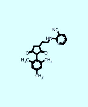 Cc1cc(C)c(C2C(=O)CC(CCNc3ncccc3C#N)C2=O)c(C)c1